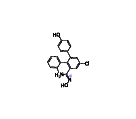 Cc1ccccc1-c1c(/C(N)=N/O)cc(Cl)cc1-c1ccc(O)cc1